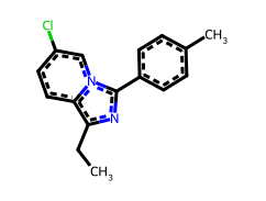 CCc1nc(-c2ccc(C)cc2)n2cc(Cl)ccc12